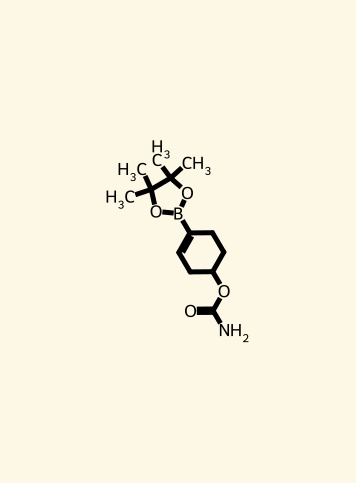 CC1(C)OB(C2=CCC(OC(N)=O)CC2)OC1(C)C